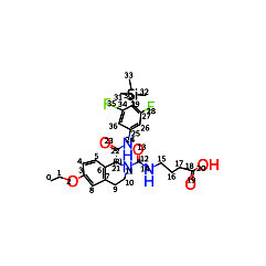 CCOc1ccc2c(c1)CCN(C(=O)NCCCC(=O)O)[C@H]2C(=O)Nc1cc(F)c([Si](C)(C)C)c(F)c1